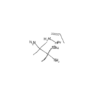 C=CC.CC(C)(C)C(C)(N)C(C)(C)N.C[CH]CN